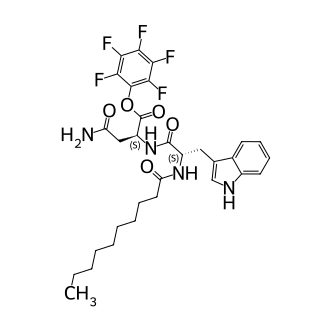 CCCCCCCCCC(=O)N[C@@H](Cc1c[nH]c2ccccc12)C(=O)N[C@@H](CC(N)=O)C(=O)Oc1c(F)c(F)c(F)c(F)c1F